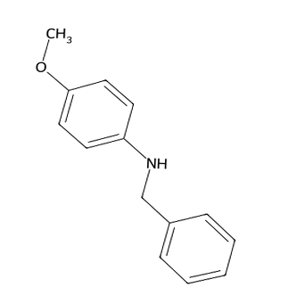 COc1ccc(NCc2ccccc2)cc1